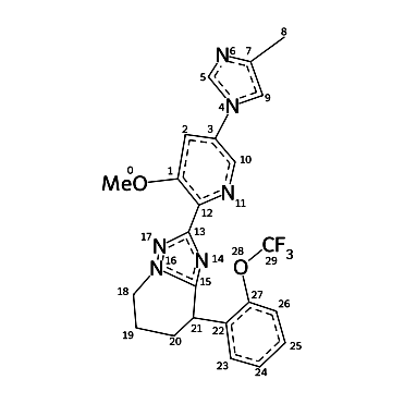 COc1cc(-n2cnc(C)c2)cnc1-c1nc2n(n1)CCCC2c1ccccc1OC(F)(F)F